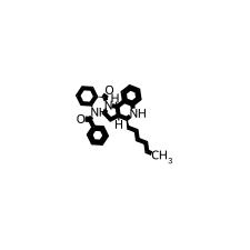 CCCCCC[C@@H]1Nc2ccccc2[C@H]2[C@@H]1CCN2C(=O)[C@H]1CCCC[C@H]1NC(=O)c1ccccc1